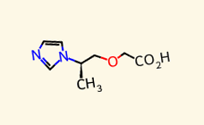 C[C@H](COCC(=O)O)n1ccnc1